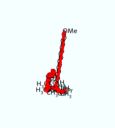 COCCOCCOCCOCCOCCOCCOCCOCCOCCOCCOCCOCCOCCOCCOCCOCCOCC#Cc1cc(NC(=O)[C@H](C)NC(=O)[C@@H](N)C(C)C)ccc1COC(=O)N(CCOC12CC3(C)CC(C)(CC(Cn4ncc(-c5ccc(N6CCc7cccc(C(=O)Nc8nc9ccccc9s8)c7C6)nc5C(=O)O)c4C)(C3)C1)C2)CCS(=O)(=O)O